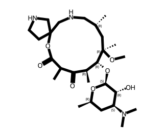 CO[C@]1(C)C[C@@H](C)CNCC2(CCNC2)OC(=O)C(C)C(=O)[C@H](C)[C@H]1O[C@@H]1O[C@H](C)C[C@H](N(C)C)[C@H]1O